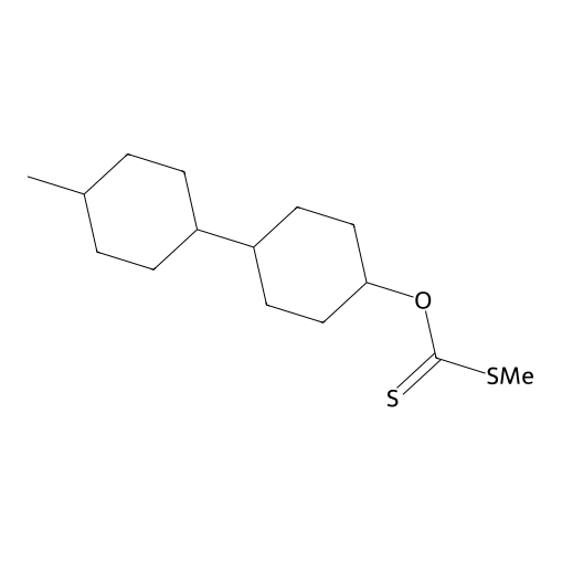 CSC(=S)OC1CCC(C2CCC(C)CC2)CC1